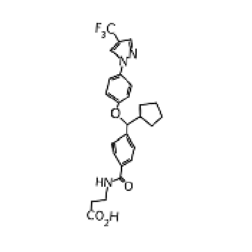 O=C(O)CCNC(=O)c1ccc(C(Oc2ccc(-n3cc(C(F)(F)F)cn3)cc2)C2CCCC2)cc1